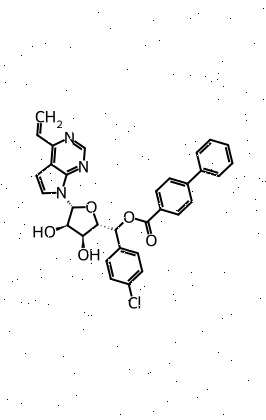 C=Cc1ncnc2c1ccn2[C@@H]1O[C@H](C(OC(=O)c2ccc(-c3ccccc3)cc2)c2ccc(Cl)cc2)[C@@H](O)[C@H]1O